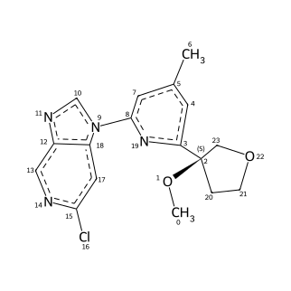 CO[C@]1(c2cc(C)cc(-n3cnc4cnc(Cl)cc43)n2)CCOC1